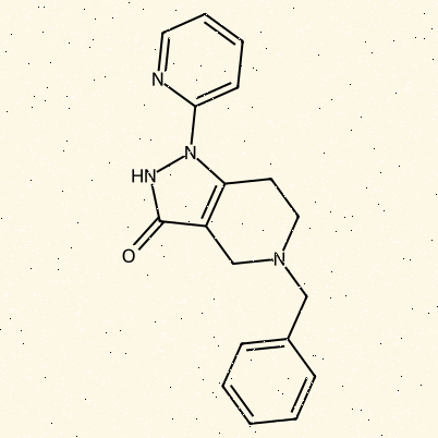 O=c1[nH]n(-c2ccccn2)c2c1CN(Cc1ccccc1)CC2